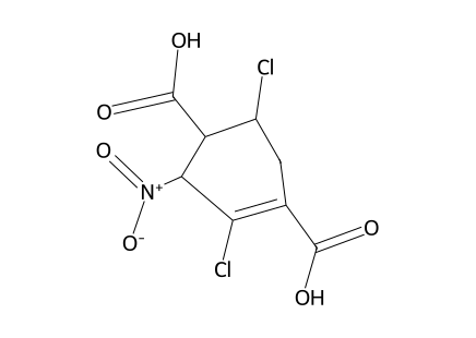 O=C(O)C1=C(Cl)C([N+](=O)[O-])C(C(=O)O)C(Cl)C1